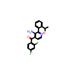 CC(C)c1ccccc1-c1c(N)c(C(=O)c2ccc(F)cc2F)cc[n+]1[O-]